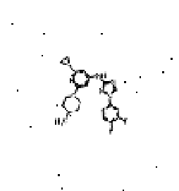 CC1CCN(c2cc(Nc3ncn(-c4ccc(F)c(F)c4)n3)cc(C3CC3)n2)CC1